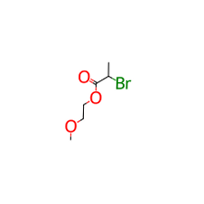 COCCOC(=O)C(C)Br